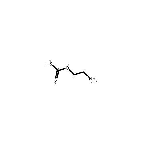 NCCOC(=S)S